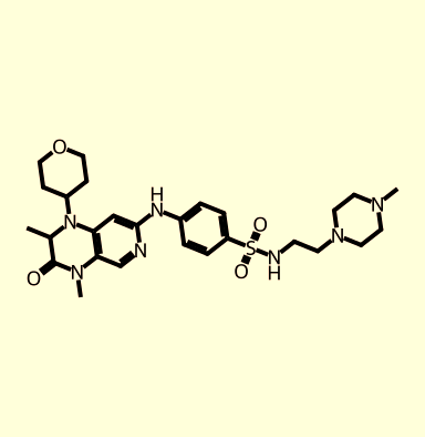 CC1C(=O)N(C)c2cnc(Nc3ccc(S(=O)(=O)NCCN4CCN(C)CC4)cc3)cc2N1C1CCOCC1